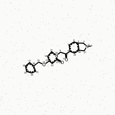 CN1Cc2ccc(C(=O)Cn3ccc(OCc4ccccc4)cc3=O)cc2C1